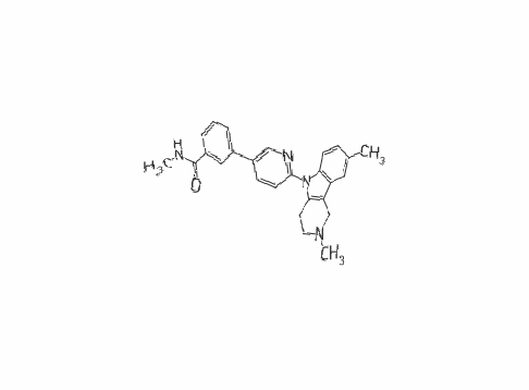 CNC(=O)c1cccc(-c2ccc(-n3c4c(c5cc(C)ccc53)CN(C)CC4)nc2)c1